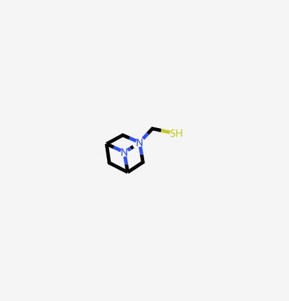 CN1C2CC1CN(CS)C2